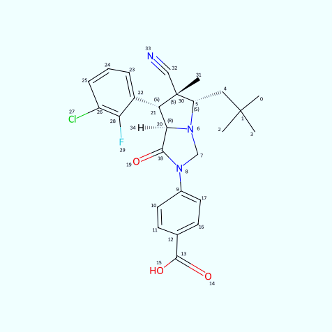 CC(C)(C)C[C@@H]1N2CN(c3ccc(C(=O)O)cc3)C(=O)[C@H]2[C@H](c2cccc(Cl)c2F)[C@]1(C)C#N